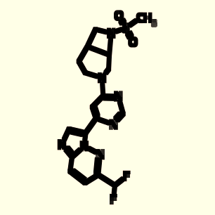 CS(=O)(=O)N1CC2CCN(c3cc(-c4cnc5ccc(C(F)F)nn45)ncn3)CC21